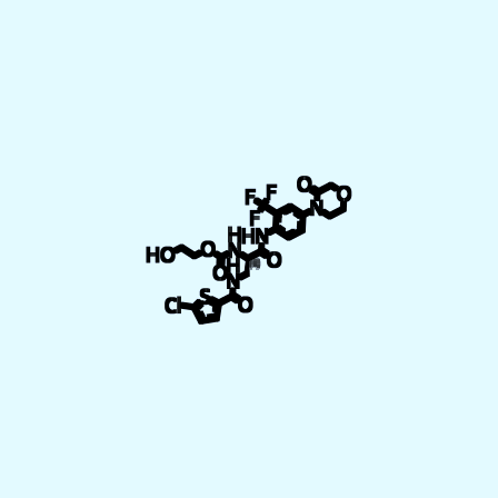 O=C(N[C@H](CNC(=O)c1ccc(Cl)s1)C(=O)Nc1ccc(N2CCOCC2=O)cc1C(F)(F)F)OCCO